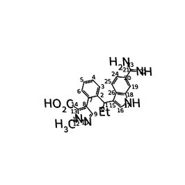 CCC(c1ccccc1-c1cnn(C)c1C(=O)O)c1c[nH]c2cc(C(=N)N)ccc12